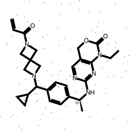 C=CC(=O)N1CC2(C1)CN(C(c1ccc([C@H](C)Nc3ncc4c(n3)N(CC)C(=O)OC4)cc1)C1CC1)C2